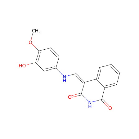 COc1ccc(NC=C2C(=O)NC(=O)c3ccccc32)cc1O